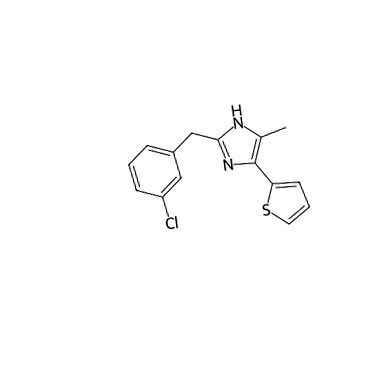 Cc1[nH]c(Cc2cccc(Cl)c2)nc1-c1cccs1